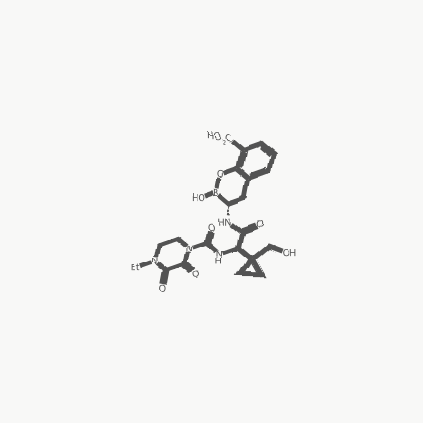 CCN1CCN(C(=O)NC(C(=O)N[C@H]2Cc3cccc(C(=O)O)c3OB2O)C2(CO)CC2)C(=O)C1=O